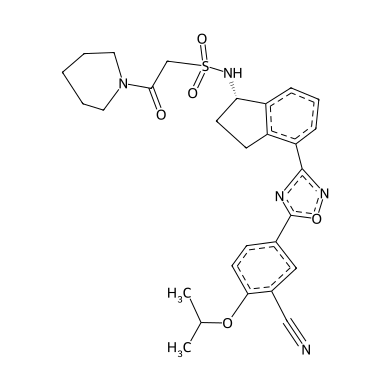 CC(C)Oc1ccc(-c2nc(-c3cccc4c3CC[C@@H]4NS(=O)(=O)CC(=O)N3CCCCC3)no2)cc1C#N